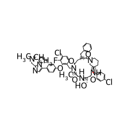 C[C@H]1C(=O)N[C@@H](CO)C(=O)N[C@@]2(Cc3ccc(Cl)cc3)CCCN(C2)C(=O)[C@H](Cc2ccccc2)CC(=O)N1Cc1ccc(Cl)c(F)c1Oc1ccc(-c2cnc(CN(C)C)n2C)cc1